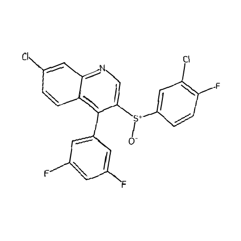 [O-][S+](c1ccc(F)c(Cl)c1)c1cnc2cc(Cl)ccc2c1-c1cc(F)cc(F)c1